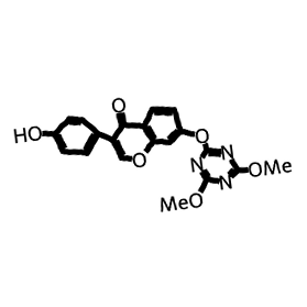 COc1nc(OC)nc(Oc2ccc3c(=O)c(-c4ccc(O)cc4)coc3c2)n1